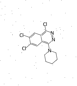 Clc1cc2c(Cl)nnc(N3CCCCC3)c2cc1Cl